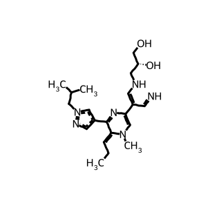 CC/C=C1/C(c2cnn(CC(C)C)c2)=NC(/C(C=N)=C/NC[C@@H](O)CO)=CN1C